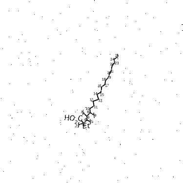 CCC(I)(C(=O)O)C(I)C(I)C(I)CCCCCCCCCCCCCCCI